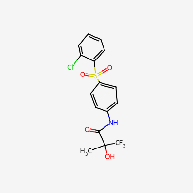 CC(O)(C(=O)Nc1ccc(S(=O)(=O)c2ccccc2Cl)cc1)C(F)(F)F